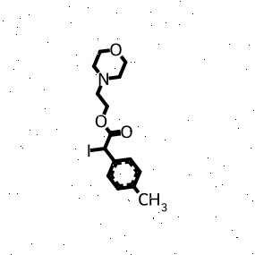 Cc1ccc(C(I)C(=O)OCCN2CCOCC2)cc1